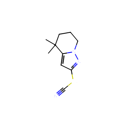 CC1(C)CCCn2nc(SC#N)cc21